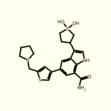 NC(=O)c1cc(-c2csc(CN3CCCC3)c2)cc2c(C3CCS(O)(O)C3)c[nH]c12